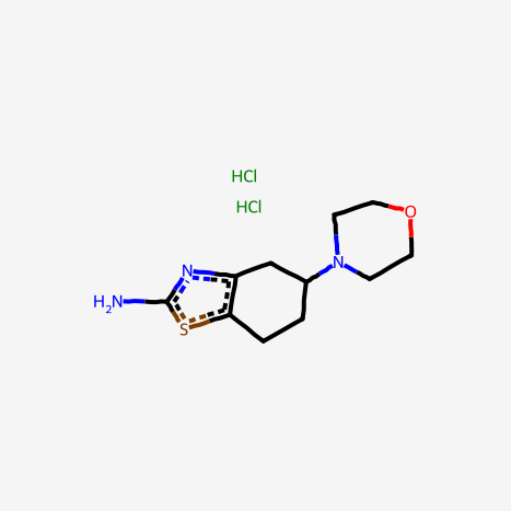 Cl.Cl.Nc1nc2c(s1)CCC(N1CCOCC1)C2